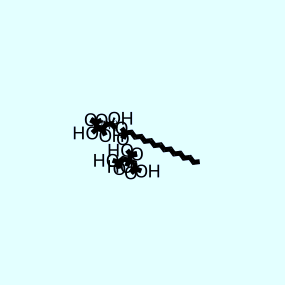 CCCCCCCCCCCCCCCC(=O)OC[C@H](O)[C@H]1OC(=O)C(O)=C1O.O=C(O)CC(O)(CC(=O)O)C(=O)O